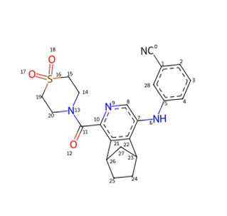 N#Cc1cccc(Nc2cnc(C(=O)N3CCS(=O)(=O)CC3)c3c2C2CCC3C2)c1